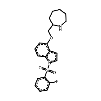 O=S(=O)(c1ccccc1F)n1ccc2c(OCC3CCCCCN3)cccc21